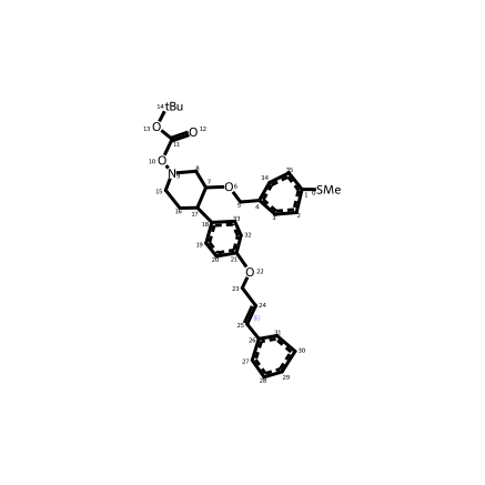 CSc1ccc(COC2CN(OC(=O)OC(C)(C)C)CCC2c2ccc(OC/C=C/c3ccccc3)cc2)cc1